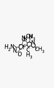 Cc1cnc2c(C#N)c(-c3c(-c4ccc5c(c4)C(CN)=NCC5=O)cnn3C)c(F)c(C)c2c1